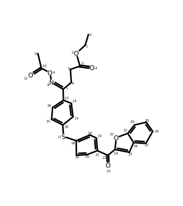 CCOC(=O)CCC(=NOC(C)=O)c1ccc(Sc2ccc(C(=O)c3cc4ccccc4o3)cc2)cc1